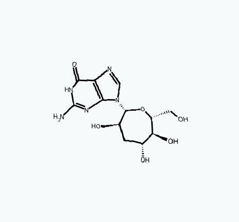 Nc1nc2c(ncn2[C@@H]2O[C@H](CO)[C@@H](O)[C@H](O)C[C@H]2O)c(=O)[nH]1